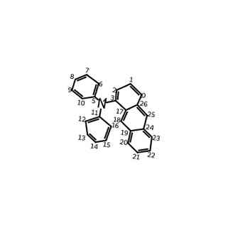 [c]1ccc(N(c2ccccc2)c2ccccc2)c2cc3ccccc3cc12